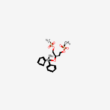 CC(C)(C)[Si](O[C@H](CCOS(C)(=O)=O)COS(C)(=O)=O)(c1ccccc1)c1ccccc1